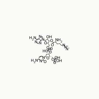 [N-]=[N+]=NCCCC(N)C(=O)O[C@H]1[C@@H](O)[C@H](n2cnc3c(N)ncnc32)O[C@@H]1COP(=O)(O)O[C@H]1C[C@H](n2ccc(N)nc2=O)O[C@H]1COP(=O)(O)O